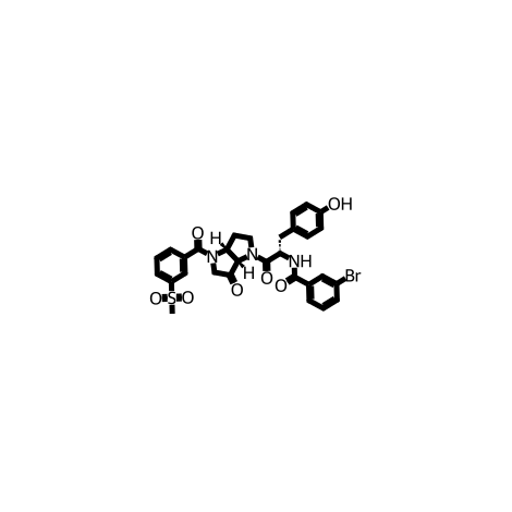 CS(=O)(=O)c1cccc(C(=O)N2CC(=O)[C@@H]3[C@H]2CCN3C(=O)[C@H](Cc2ccc(O)cc2)NC(=O)c2cccc(Br)c2)c1